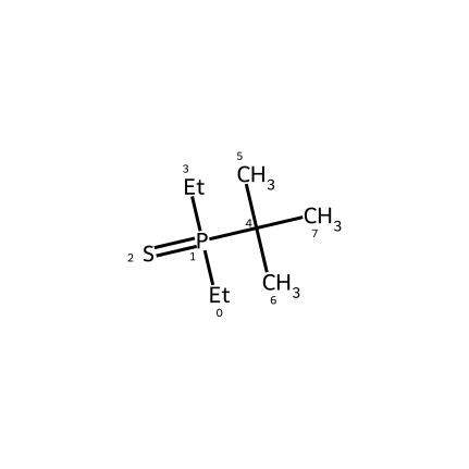 CCP(=S)(CC)C(C)(C)C